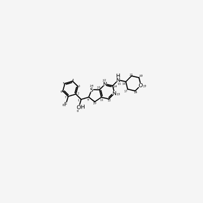 OC(c1ccccc1F)C1Cc2cnc(NC3CCOCC3)nc2S1